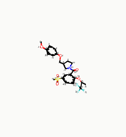 COc1ccc(OCC2CCN(C(=O)c3cc(S(C)(=O)=O)ccc3OC(C)C(F)(F)F)C2)cc1